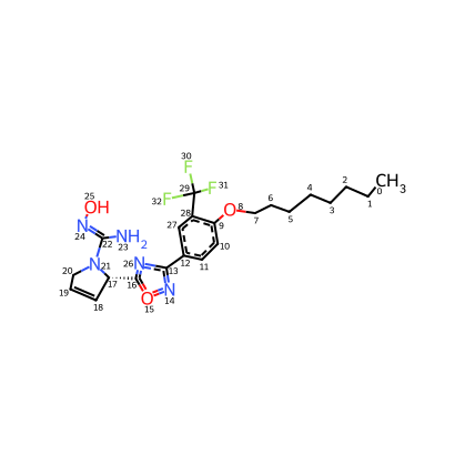 CCCCCCCCOc1ccc(-c2noc([C@@H]3C=CCN3/C(N)=N/O)n2)cc1C(F)(F)F